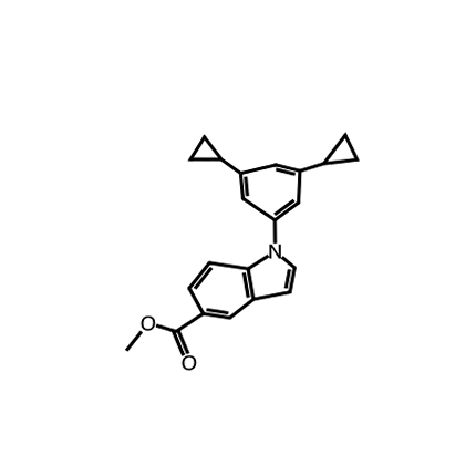 COC(=O)c1ccc2c(ccn2-c2cc(C3CC3)cc(C3CC3)c2)c1